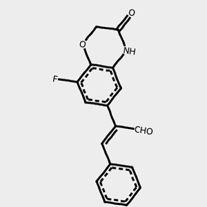 O=C/C(=C\c1ccccc1)c1cc(F)c2c(c1)NC(=O)CO2